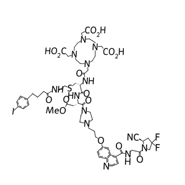 COC(=O)C[C@H](NC(=O)[C@H](CSCCNC(=O)CCCc1ccc(I)cc1)NC(=O)CN1CCN(CC(=O)O)CCN(CC(=O)O)CCN(CC(=O)O)CC1)C(=O)N1CCN(CCCOc2ccc3nccc(C(=O)NCC(=O)N4CC(F)(F)C[C@@H]4C#N)c3c2)CC1